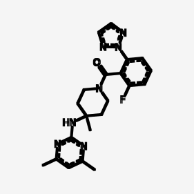 Cc1cc(C)nc(NC2(C)CCN(C(=O)c3c(F)cccc3-n3nccn3)CC2)n1